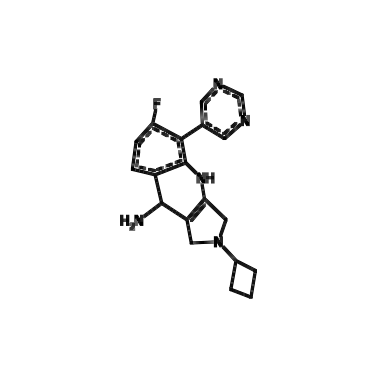 NC1C2=C(CN(C3CCC3)C2)Nc2c1ccc(F)c2-c1cncnc1